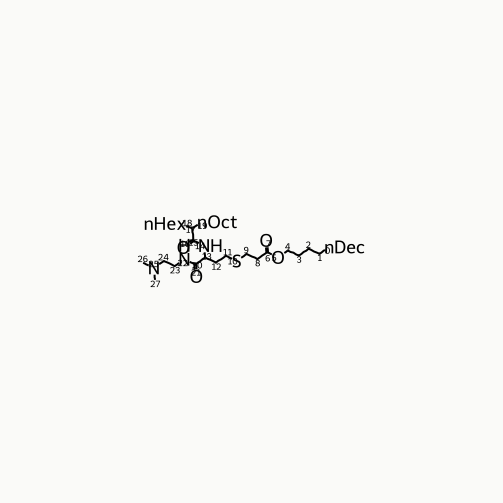 CCCCCCCCCCCCCCOC(=O)CCSCCC(NC(=O)C(CCCCCC)CCCCCCCC)C(=O)NCCN(C)C